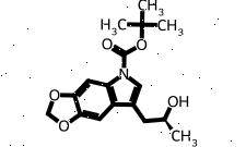 C[C@H](O)Cc1cn(C(=O)OC(C)(C)C)c2cc3c(cc12)OCO3